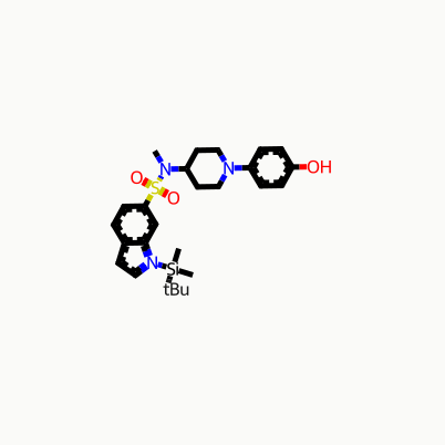 CN(C1CCN(c2ccc(O)cc2)CC1)S(=O)(=O)c1ccc2ccn([Si](C)(C)C(C)(C)C)c2c1